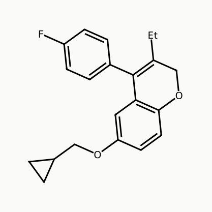 CCC1=C(c2ccc(F)cc2)c2cc(OCC3CC3)ccc2OC1